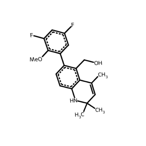 COc1c(F)cc(F)cc1-c1ccc2c(c1CO)C(C)=CC(C)(C)N2